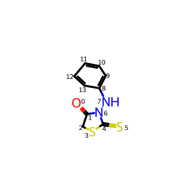 O=C1CSC(=S)N1Nc1ccccc1